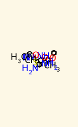 Cc1cc(Oc2ccccc2)ccc1C1(N)C(=O)C(N)c2c(C(=O)N[C@H]3CCC[C@H]3N(C)C)sc3c(N)ccc1c23